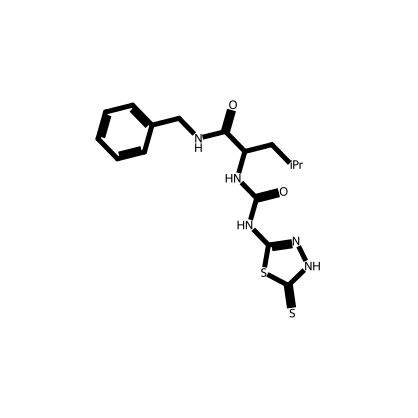 CC(C)CC(NC(=O)Nc1n[nH]c(=S)s1)C(=O)NCc1ccccc1